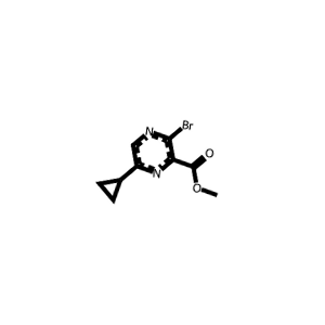 COC(=O)c1nc(C2CC2)cnc1Br